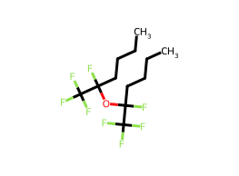 CCCCC(F)(OC(F)(CCCC)C(F)(F)F)C(F)(F)F